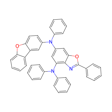 c1ccc(-c2nc3c(N(c4ccccc4)c4ccccc4)cc(N(c4ccccc4)c4ccc5oc6ccccc6c5c4)cc3o2)cc1